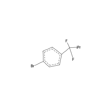 CC(C)C(F)(F)c1ccc(Br)cc1